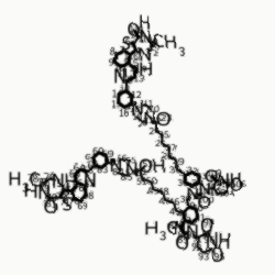 C[C@@H]1CNc2c(sc3ccc4nc(-c5cccc(N6CCN(C(=O)CCCCCCCc7ccc8c(c7)n(Cc7ccc9c(c7CCCCCCCC(O)N7CCN(c%10cccc(-c%11ccc%12c(ccc%13sc%14c(c%13%12)NC[C@@H](C)NC%14=O)n%11)c%10)CC7)n(C)c(=O)n9C7CCC(=O)NC7=O)c(=O)n8C7CCC(=O)NC7=O)CC6)c5)ccc4c23)C(=O)N1